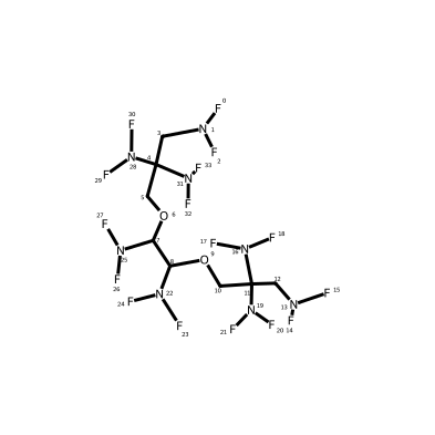 FN(F)CC(COC(C(OCC(CN(F)F)(N(F)F)N(F)F)N(F)F)N(F)F)(N(F)F)N(F)F